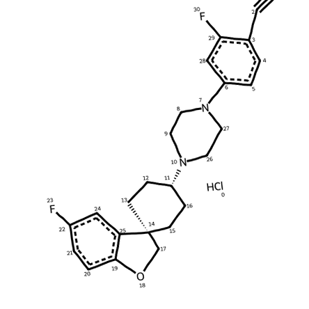 Cl.N#Cc1ccc(N2CCN([C@H]3CC[C@]4(CC3)COc3ccc(F)cc34)CC2)cc1F